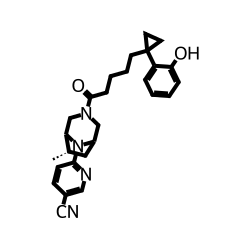 C[C@H]1CC2CN(C(=O)CCCCC3(c4ccccc4O)CC3)CC1N2c1ccc(C#N)cn1